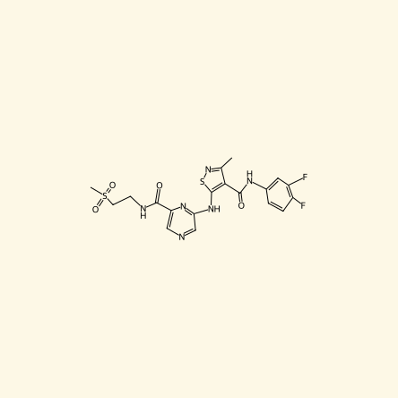 Cc1nsc(Nc2cncc(C(=O)NCCS(C)(=O)=O)n2)c1C(=O)Nc1ccc(F)c(F)c1